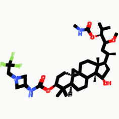 CNC(=O)O[C@H](C(C)C)C(C[C@@H](C)[C@H]1C[C@H](O)[C@@]2(C)C3CC[C@H]4C(C)(C)[C@@H](OC(=O)NC5CN(CC(F)(F)F)C5)CC[C@@]45C[C@@]35CC[C@]12C)OC